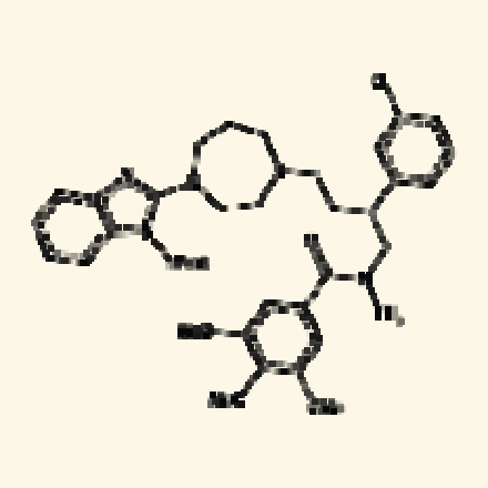 CCCCCn1c(N2CCCN(CCC(CN(C)C(=O)c3cc(OC)c(OC)c(OC)c3)c3cccc(Cl)c3)CC2)nc2ccccc21